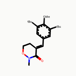 COc1c(C(C)(C)C)cc(C=C2CCON(C)C2=O)cc1C(C)(C)C